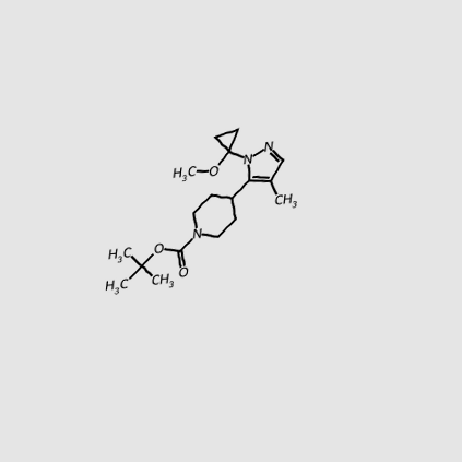 COC1(n2ncc(C)c2C2CCN(C(=O)OC(C)(C)C)CC2)CC1